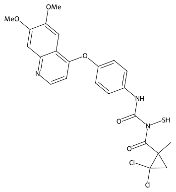 COc1cc2nccc(Oc3ccc(NC(=O)N(S)C(=O)C4(C)CC4(Cl)Cl)cc3)c2cc1OC